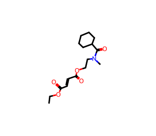 CCOC(=O)/C=C/C(=O)OCCN(C)C(=O)C1CCCCC1